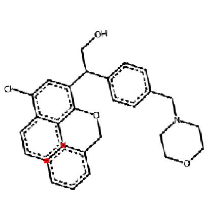 OCC(c1ccc(CN2CCOCC2)cc1)c1cc(Cl)c2cccnc2c1OCc1ccccc1